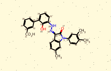 Cc1ccc2c(c1)N(c1ccc(C)c(C)c1)C(=O)C2=NNc1cccc(-c2cccc(C(=O)O)c2)c1O